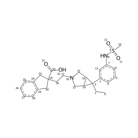 CCC1(c2cccc(NS(C)(=O)=O)c2)C2CN(CCC3(C(=O)O)Cc4ccccc4C3)CC21